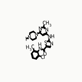 Cc1nc(Nc2ncc(C(=O)Nc3c(C)cccc3Cl)s2)cc(N2CCN(I)CC2)n1